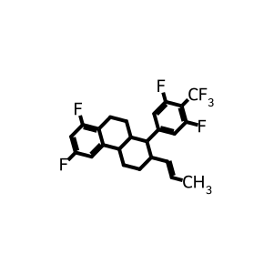 CC=CC1CCC2c3cc(F)cc(F)c3CCC2C1c1cc(F)c(C(F)(F)F)c(F)c1